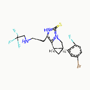 Fc1ccc(Br)cc1[C@]12C[C@H]1c1c(CCNCC(F)(F)F)[nH]c(=S)n1C2